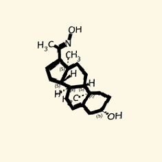 CC(=NO)C1=CC[C@H]2[C@@H]3CC=C4C[C@@H](O)CC[C@]4(C)[C@H]3CC[C@]12C